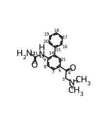 CN(C)CC(=O)c1ccc(NC(N)=O)c(-c2ccccc2)c1